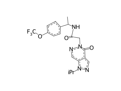 CC(NC(=O)Cn1ncc2c(cnn2C(C)C)c1=O)c1ccc(OC(F)(F)F)cc1